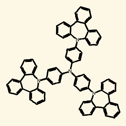 c1ccc2c(c1)-c1ccccc1N(c1ccc(N(c3ccc(N4c5ccccc5-c5ccccc5-c5ccccc54)cc3)c3ccc(N4c5ccccc5-c5ccccc5-c5ccccc54)cc3)cc1)c1ccccc1-2